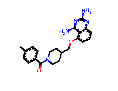 Cc1ccc(C(=O)N2CCC(COc3cccc4nc(N)nc(N)c34)CC2)cc1